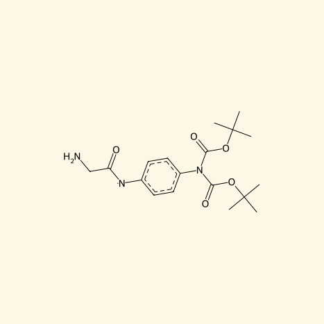 CC(C)(C)OC(=O)N(C(=O)OC(C)(C)C)c1ccc([N]C(=O)CN)cc1